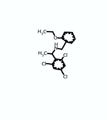 CCOc1ccccc1CNC(C)c1c(Cl)cc(Cl)cc1Cl